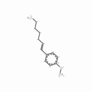 CCCCCC=Cc1ccc(OC)cc1